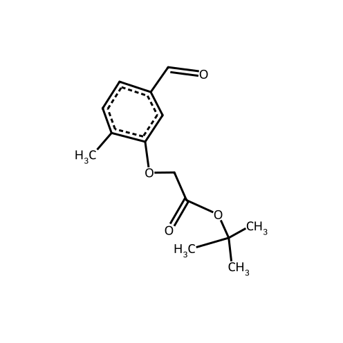 Cc1ccc(C=O)cc1OCC(=O)OC(C)(C)C